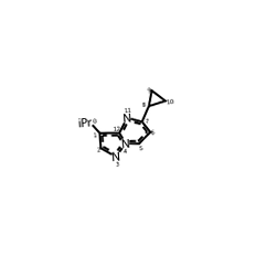 CC(C)c1cnn2ccc(C3CC3)nc12